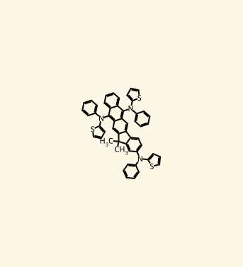 CC1(C)c2cc(N(c3ccccc3)c3cccs3)ccc2-c2cc3c(N(c4ccccc4)c4cccs4)c4ccccc4c(N(c4ccccc4)c4cccs4)c3cc21